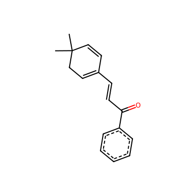 CC1(C)C=CC(C=CC(=O)c2ccccc2)=CC1